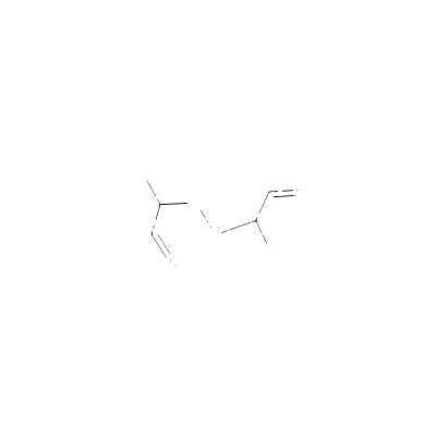 CC([C]=N)SSC(C)[C]=N